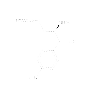 CC(=O)N[C@H](CN=[N+]=[N-])[C@H](OC(C)=O)c1ccc([N+](=O)[O-])cc1